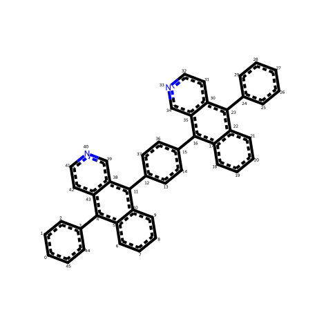 c1ccc(-c2c3ccccc3c(-c3ccc(-c4c5ccccc5c(-c5ccccc5)c5ccncc45)cc3)c3cnccc23)cc1